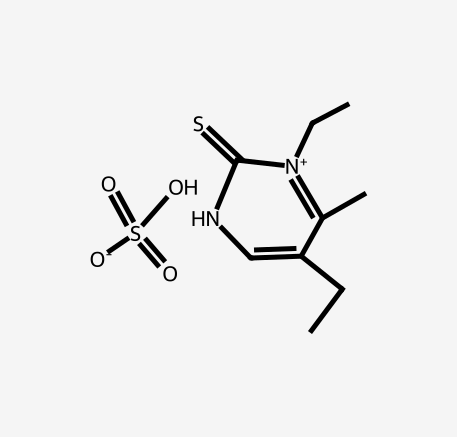 CCc1c[nH]c(=S)[n+](CC)c1C.O=S(=O)([O-])O